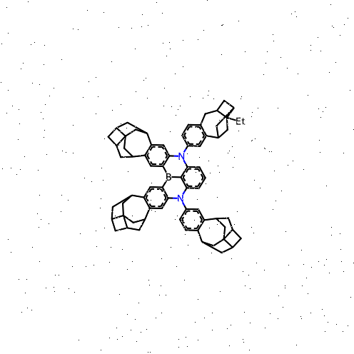 CCC12CC3CC1CC2Cc1ccc(N2c4cc5c(cc4B4c6cc7c(cc6N(c6ccc8c(c6)C6CC9CC%10CC8CC%109C6)c6cccc2c64)C2CC4CC6CC7CC64C2)C2CC4CC6CC5CC46C2)cc13